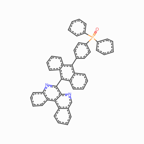 O=P(c1ccccc1)(c1ccccc1)c1ccc(-c2c3ccccc3c(-c3nc4ccccc4c4c3ncc3ccccc34)c3ccccc23)cc1